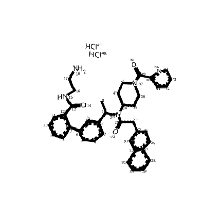 CC(c1cccc(-c2ccccc2C(=O)NCCN)c1)N(C(=O)Cc1ccc2ccccc2c1)C1CCN(C(=O)c2ccccn2)CC1.Cl.Cl